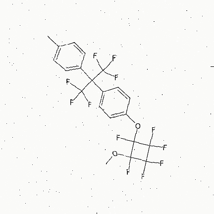 COC1(F)C(F)(F)C(F)(F)C1(F)Oc1ccc(C(c2ccc(C)cc2)(C(F)(F)F)C(F)(F)F)cc1